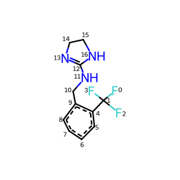 FC(F)(F)c1ccccc1CNC1=NCCN1